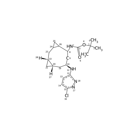 CC(C)(C)OC(=O)NC1C[C@@H](Nc2ccc(Cl)nn2)C[C@@H]2C[C@@H]2CC2CC21